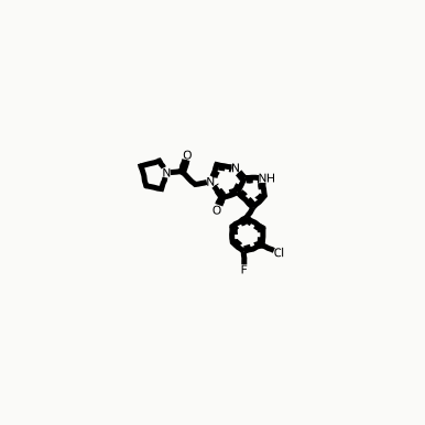 O=C(Cn1cnc2[nH]cc(-c3ccc(F)c(Cl)c3)c2c1=O)N1CCCC1